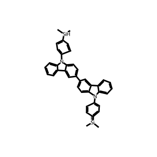 C[SiH](C)c1ccc(-n2c3ccccc3c3cc(-c4ccc5c(c4)c4ccccc4n5-c4ccc([SiH](C)C)cc4)ccc32)cc1